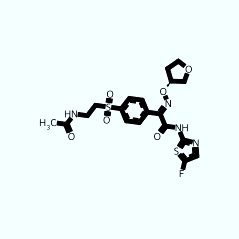 CC(=O)NCCS(=O)(=O)c1ccc(/C(=N\O[C@@H]2CCOC2)C(=O)Nc2ncc(F)s2)cc1